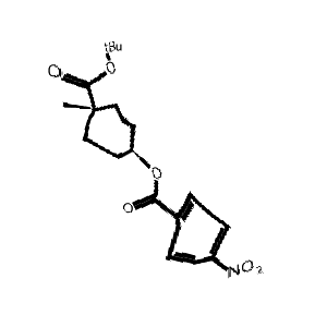 CC(C)(C)OC(=O)[C@]1(C)CC[C@@H](OC(=O)c2ccc([N+](=O)[O-])cc2)CC1